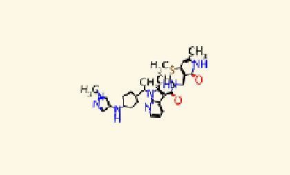 CSc1cc(C)[nH]c(=O)c1CNC(=O)c1c(C)n(C(C)C2CCC(Nc3cnn(C)c3)CC2)c2ncccc12